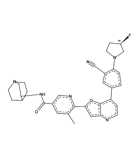 Cc1cc(C(=O)NC2CN3CCC2CC3)cnc1-c1cc2nccc(-c3ccc(N4CC[C@@H](F)C4)c(C#N)c3)c2o1